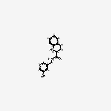 CC(C)c1cncc(CNC(=O)C2CCc3ccccc3N2)c1